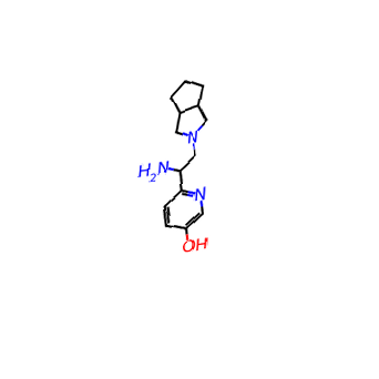 NC(CN1CC2CCCC2C1)c1ccc(O)cn1